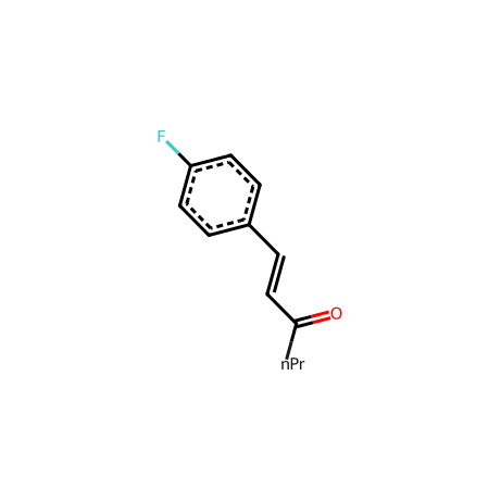 CCCC(=O)/C=C/c1ccc(F)cc1